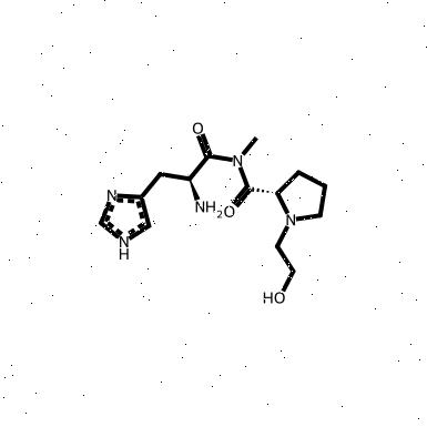 CN(C(=O)[C@@H](N)Cc1c[nH]cn1)C(=O)[C@@H]1CCCN1CCO